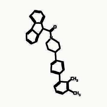 Cc1cccc(-c2ccc(C3CCN(C(=O)C4c5ccccc5-c5ccccc54)CC3)cc2)c1C